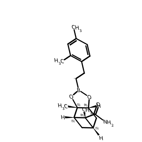 Cc1ccc(C[CH]B2O[C@@H]3C[C@@H]4C[C@H]([C@]3(C)O2)[C@]4(C)C(N)=O)c(C)c1